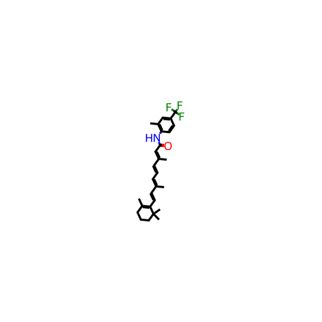 CC1=C(/C=C/C(C)=C/C=C/C(C)=C/C(=O)Nc2ccc(C(F)(F)F)cc2C)C(C)(C)CCC1